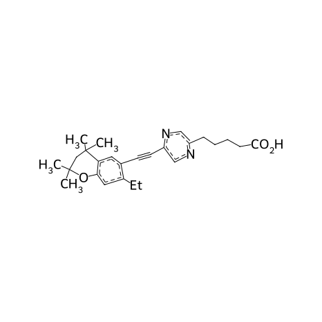 CCc1cc2c(cc1C#Cc1cnc(CCCCC(=O)O)cn1)C(C)(C)CC(C)(C)O2